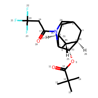 C[C@H]1[C@H]2CC3C[C@@H]1C([C@H]2OC(=O)C(C)(C)C)N(C(=O)CC(F)(F)F)C3